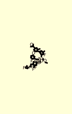 CCOC(=O)C[C@@H]1NC(=O)[C@@H](n2cc(CCN3CC(F)C3)c(C(F)(F)F)cc2=O)c2cc(ccc2F)Oc2cc(C3COC3)cc(C)c2-c2cc(C)c(F)c1c2